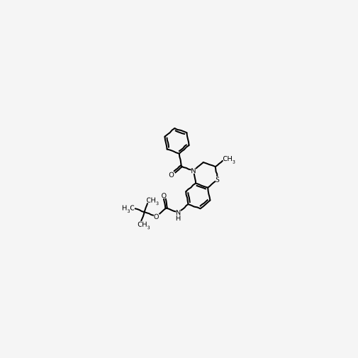 CC1CN(C(=O)c2ccccc2)c2cc(NC(=O)OC(C)(C)C)ccc2S1